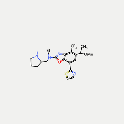 CCN(CC1CCCN1)c1nc2c(C(F)(F)F)c(C(C)OC)cc(-c3nccs3)c2o1